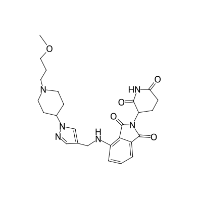 COCCCN1CCC(n2cc(CNc3cccc4c3C(=O)N(C3CCC(=O)NC3=O)C4=O)cn2)CC1